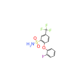 NS(=O)(=O)c1cc(C(F)(F)F)ccc1Oc1ccccc1I